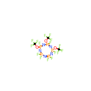 FC(F)(F)OP1(F)=NP(F)(F)=NP(F)(F)=NP(F)(OC(F)(F)F)=NP(F)(OC(F)(F)F)=N1